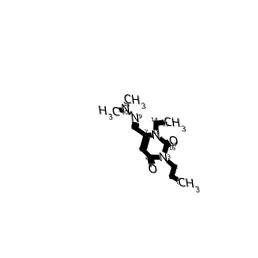 CCCn1c(=O)cc(C=NN(C)C)n(CC)c1=O